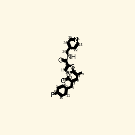 Cc1cc(Cc2ccc(F)cc2)c(=O)n2cc(C(=O)NCc3ccncc3)sc12